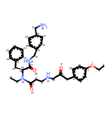 CCOc1ccc(CC(=O)CNCCC(=O)N(CC)[C@@H](Cc2ccccc2)C(=O)NCc2ccc(CN)cc2)cc1